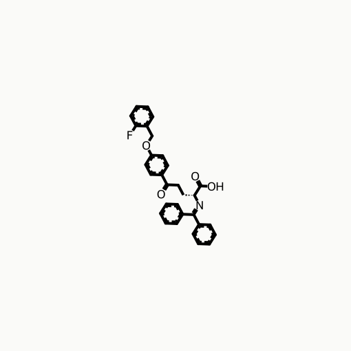 O=C(CC[C@@H](N=C(c1ccccc1)c1ccccc1)C(=O)O)c1ccc(OCc2ccccc2F)cc1